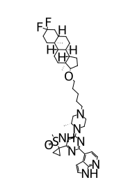 C[C@@H]1CN(CCCCCO[C@H]2CC[C@H]3[C@@H]4CC[C@H]5CC(F)(F)CC[C@]5(C)[C@H]4CC[C@]23C)CCN1c1cc(C2(S(C)(=N)=O)CC2)nc(-c2ccnc3[nH]ccc23)n1